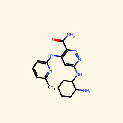 Cc1cccc(Nc2cc(NC3CCCCC3N)nnc2C(N)=O)n1